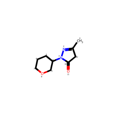 CC1=NN(C2CCCOC2)C(=O)C1